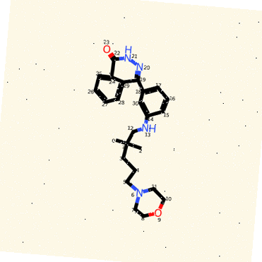 CC(C)(CCCN1CCOCC1)CNc1cccc(-c2n[nH]c(=O)c3ccccc23)c1